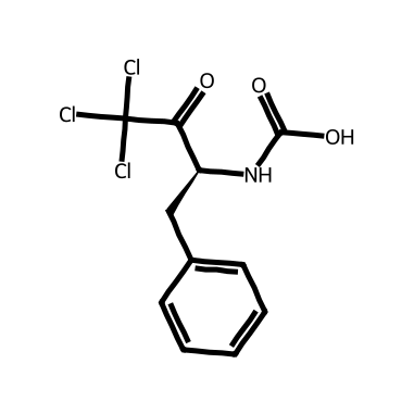 O=C(O)N[C@@H](Cc1ccccc1)C(=O)C(Cl)(Cl)Cl